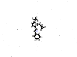 CC(C)(C)c1ccc(/C=C/c2ccccc2)n1CC1CC1